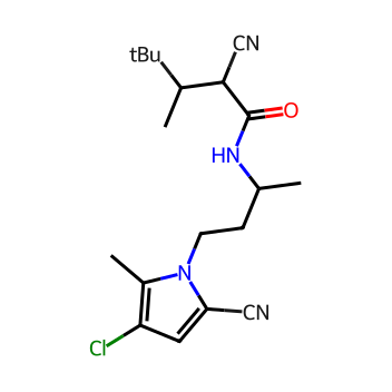 Cc1c(Cl)cc(C#N)n1CCC(C)NC(=O)C(C#N)C(C)C(C)(C)C